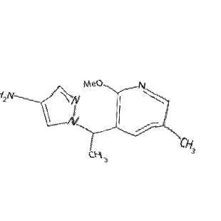 COc1ncc(C)cc1C(C)n1cc(N)cn1